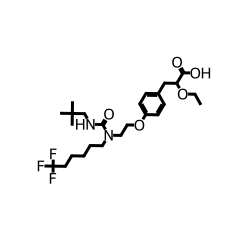 CCOC(Cc1ccc(OCCN(CCCCCC(F)(F)F)C(=O)NCC(C)(C)C)cc1)C(=O)O